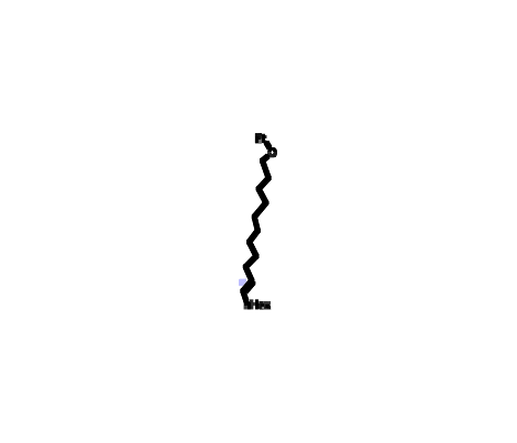 CCCCCC/C=C/CCCCCCCCCOCC